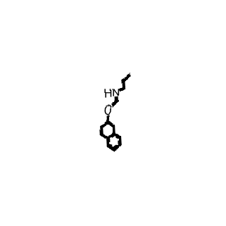 CCCNCOC1CCc2ccccc2C1